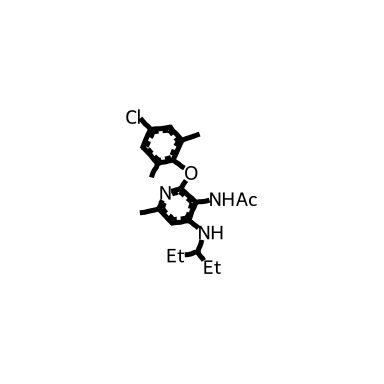 CCC(CC)Nc1cc(C)nc(Oc2c(C)cc(Cl)cc2C)c1NC(C)=O